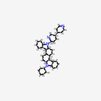 c1ccc(-n2c3ccccc3c3c4ccc5c(c4ccc32)c2ccccc2n5-c2ccc(-c3ccncc3)cn2)cc1